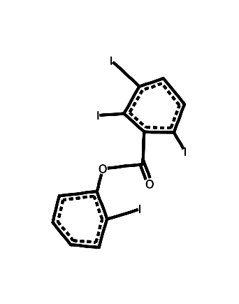 O=C(Oc1ccccc1I)c1c(I)ccc(I)c1I